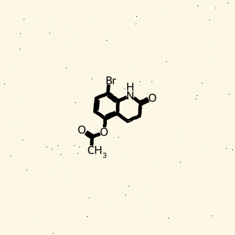 CC(=O)Oc1ccc(Br)c2c1CCC(=O)N2